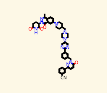 Cc1nn(C2CCC(=O)NC2=O)c(=O)c2cc(N3CCC(CN4CCN(c5cnc(-c6cccc(Cn7nc(-c8cccc(C#N)c8)ccc7=O)c6)nc5)CC4)CC3)ccc12